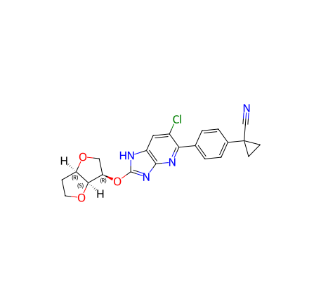 N#CC1(c2ccc(-c3nc4nc(O[C@@H]5CO[C@@H]6CCO[C@@H]65)[nH]c4cc3Cl)cc2)CC1